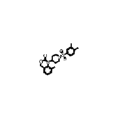 Cc1ccc(S(=O)(=O)N2CCC(N3C(=O)OCc4cccc(C)c43)CC2)cc1C